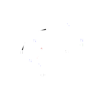 Cn1nc2c(c1-c1cc(Cl)cc(Cl)c1)C[C@H]1CCC[C@@H]2N1C(=O)c1ccc2nccnc2c1